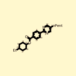 CCCCCc1cnc(-c2ccc(C(=O)OC3CCC(CC)CC3)cc2)nc1